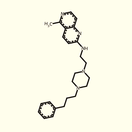 Cc1nccc2nc(NCCN3CCN(CCCc4ccccc4)CC3)ccc12